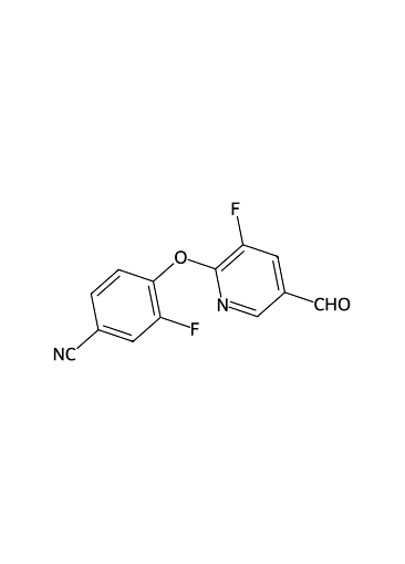 N#Cc1ccc(Oc2ncc(C=O)cc2F)c(F)c1